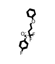 [O-][S+](c1ccc(F)cc1)C(F)(F)CCCOc1ccccc1